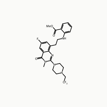 COC(=O)c1ccccc1NCCc1cc(F)cc2c(=O)n(C)c(N3CCN(CC(F)(F)F)CC3)nc12